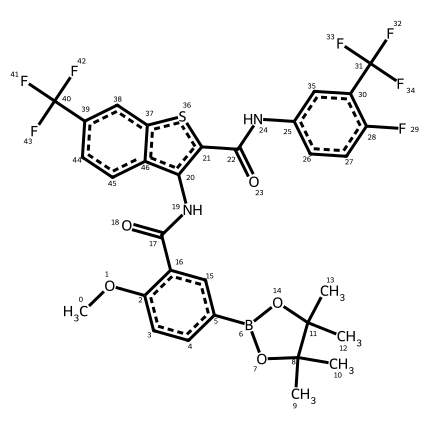 COc1ccc(B2OC(C)(C)C(C)(C)O2)cc1C(=O)Nc1c(C(=O)Nc2ccc(F)c(C(F)(F)F)c2)sc2cc(C(F)(F)F)ccc12